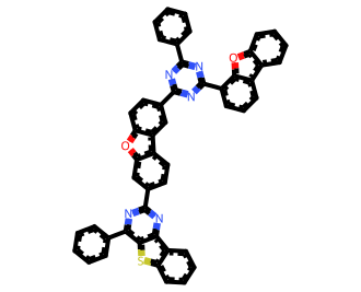 c1ccc(-c2nc(-c3ccc4oc5cc(-c6nc(-c7ccccc7)c7sc8ccccc8c7n6)ccc5c4c3)nc(-c3cccc4c3oc3ccccc34)n2)cc1